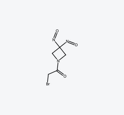 O=NC1(N=O)CN(C(=O)CBr)C1